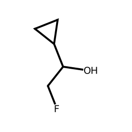 OC(CF)C1CC1